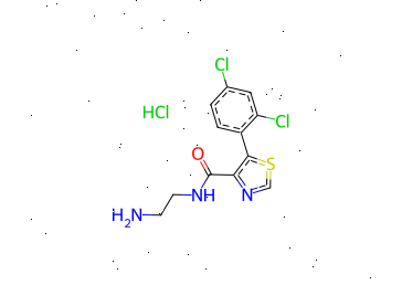 Cl.NCCNC(=O)c1ncsc1-c1ccc(Cl)cc1Cl